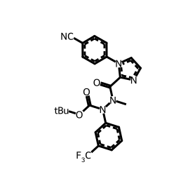 CN(C(=O)c1nccn1-c1ccc(C#N)cc1)N(C(=O)OC(C)(C)C)c1cccc(C(F)(F)F)c1